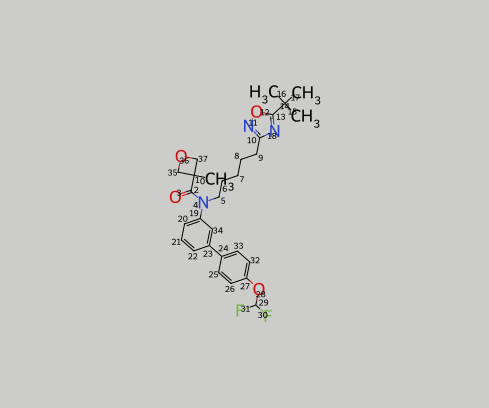 CC1(C(=O)N(CCCCCc2noc(C(C)(C)C)n2)c2cccc(-c3ccc(OC(F)F)cc3)c2)COC1